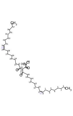 CCCCCCCC/C=C\CCCCCCCC(=O)C(C(=O)CCCCCCC/C=C\CCCCCCCC)C(=O)NCl